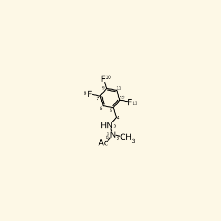 CC(=O)N(C)NCc1cc(F)c(F)cc1F